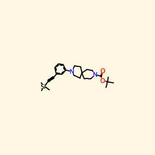 CC(C)(C)OC(=O)N1CCC2(CC1)CCN(c1cccc(C#C[Si](C)(C)C)c1)CC2